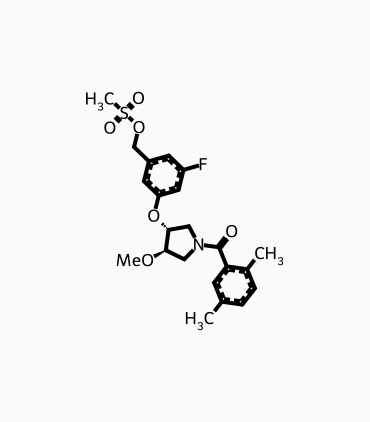 CO[C@@H]1CN(C(=O)c2cc(C)ccc2C)C[C@H]1Oc1cc(F)cc(COS(C)(=O)=O)c1